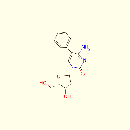 Nc1nc(=O)n([C@@H]2C[C@@H](O)[C@H](CO)O2)cc1-c1ccccc1